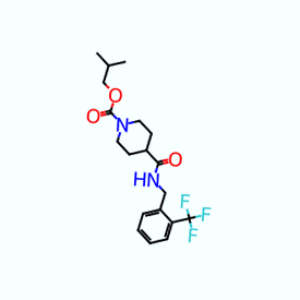 CC(C)COC(=O)N1CCC(C(=O)NCc2ccccc2C(F)(F)F)CC1